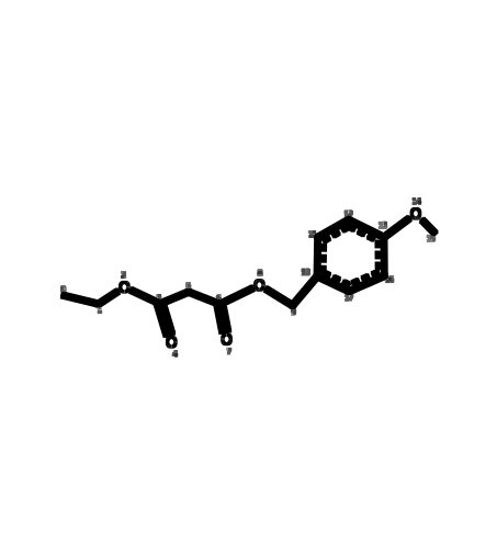 CCOC(=O)CC(=O)OCc1ccc(OC)cc1